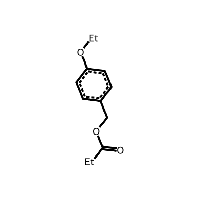 CCOc1ccc(COC(=O)CC)cc1